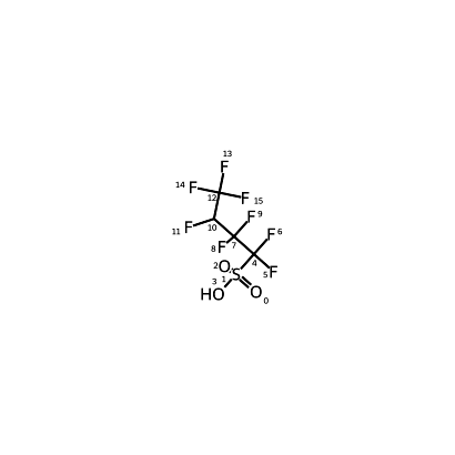 O=S(=O)(O)C(F)(F)C(F)(F)C(F)C(F)(F)F